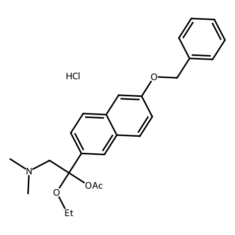 CCOC(CN(C)C)(OC(C)=O)c1ccc2cc(OCc3ccccc3)ccc2c1.Cl